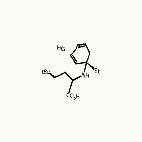 CC[C@@]1(NC(CCC(C)(C)C)C(=O)O)C=CC=CC1.Cl